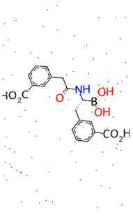 O=C(Cc1cccc(C(=O)O)c1)N[C@@H](Cc1cccc(C(=O)O)c1)B(O)O